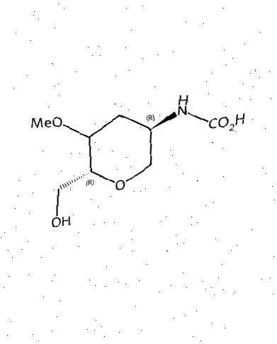 COC1C[C@@H](NC(=O)O)CO[C@@H]1CO